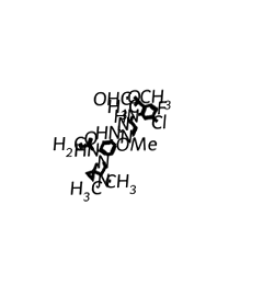 C=CC(=O)Nc1cc(Nc2nccc(Nc3cc(Cl)c(F)cc3C(C)(C)OC=O)n2)c(OC)cc1N1C[C@H](N(C)C)C2(CC2)C1